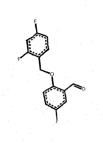 O=Cc1cc(F)ccc1OCc1ccc(F)cc1F